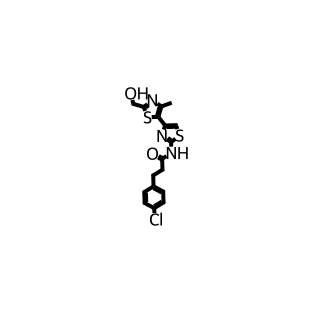 Cc1nc(CO)sc1-c1csc(NC(=O)CCc2ccc(Cl)cc2)n1